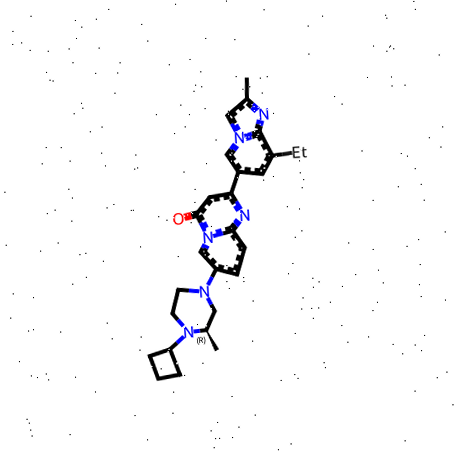 CCc1cc(-c2cc(=O)n3cc(N4CCN(C5CCC5)[C@H](C)C4)ccc3n2)cn2cc(C)nc12